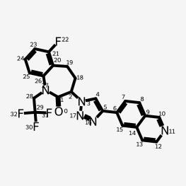 O=C1C(n2cc(-c3ccc4cnccc4c3)nn2)CCc2c(F)cccc2N1CC(F)(F)F